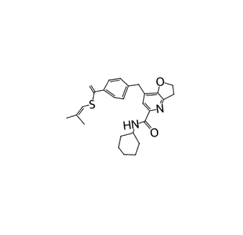 C=C(SC=C(C)C)c1ccc(Cc2cc(C(=O)NC3CCCCC3)nc3c2OCC3)cc1